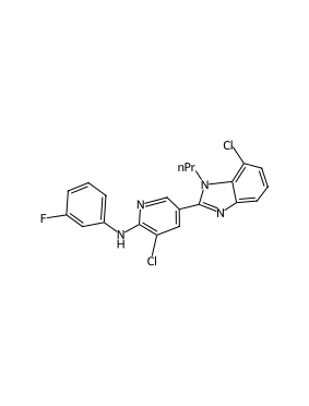 CCCn1c(-c2cnc(Nc3cccc(F)c3)c(Cl)c2)nc2cccc(Cl)c21